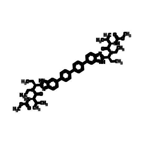 CC[C@@H](c1nc2ccc(-c3ccc(-c4ccc(-c5ccc6nc([C@H](CC)N(CC)C(=O)[C@@H](NC(=O)OC)C(C)C)[nH]c6c5)cc4)cc3)cc2[nH]1)N(CC)C(=O)[C@@H](NC(=O)OC)C(C)C